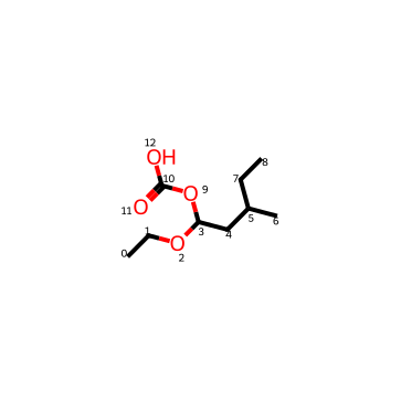 CCOC(CC(C)CC)OC(=O)O